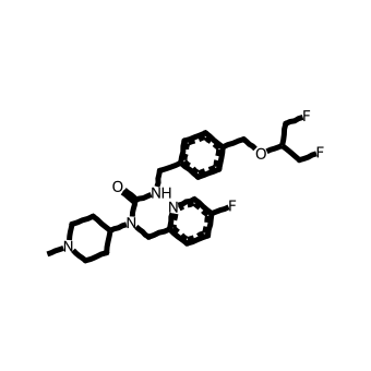 CN1CCC(N(Cc2ccc(F)cn2)C(=O)NCc2ccc(COC(CF)CF)cc2)CC1